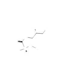 O=C(OC[C@@H](O)CO)P(=O)(O)OS